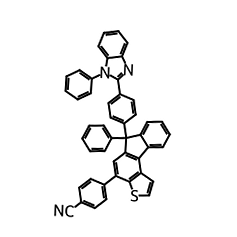 N#Cc1ccc(-c2cc3c(c4ccsc24)-c2ccccc2C3(c2ccccc2)c2ccc(-c3nc4ccccc4n3-c3ccccc3)cc2)cc1